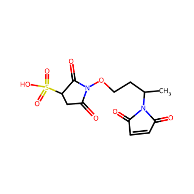 CC(CCON1C(=O)CC(S(=O)(=O)O)C1=O)N1C(=O)C=CC1=O